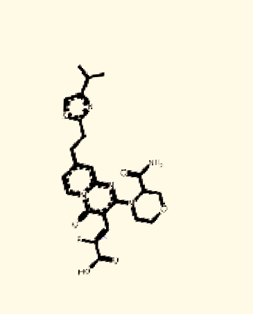 CC(C)c1csc(CCc2ccn3c(=O)c(/C=C(\F)C(=O)O)c(N4CCOCC4C(N)=O)nc3c2)n1